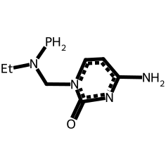 CCN(P)Cn1ccc(N)nc1=O